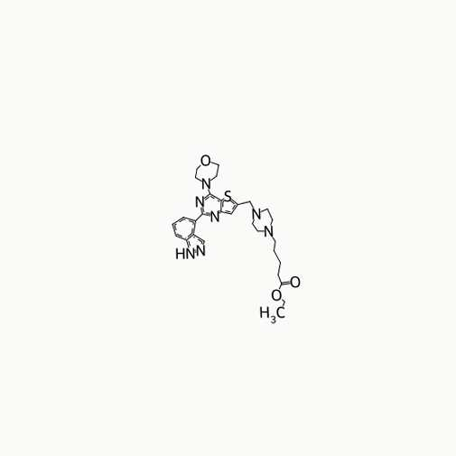 CCOC(=O)CCCCN1CCN(Cc2cc3nc(-c4cccc5[nH]ncc45)nc(N4CCOCC4)c3s2)CC1